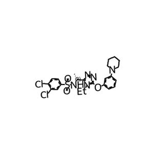 CCn1c(Oc2cccc(N3CCCCC3)c2)nnc1[C@@H](C)NS(=O)(=O)c1ccc(Cl)c(Cl)c1